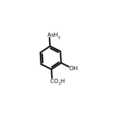 O=C(O)c1ccc([AsH2])cc1O